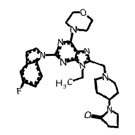 CCn1c(CN2CCC(N3CCCC3=O)CC2)nc2c(N3CCOCC3)nc(-n3ccc4cc(F)ccc43)nc21